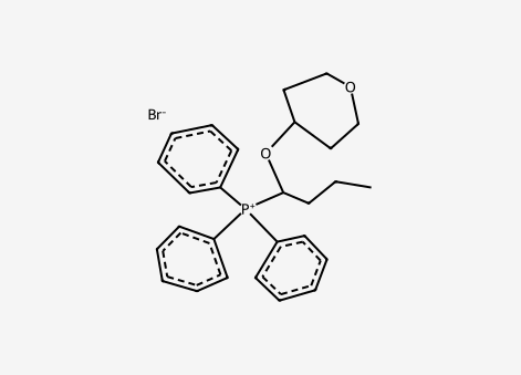 CCCC(OC1CCOCC1)[P+](c1ccccc1)(c1ccccc1)c1ccccc1.[Br-]